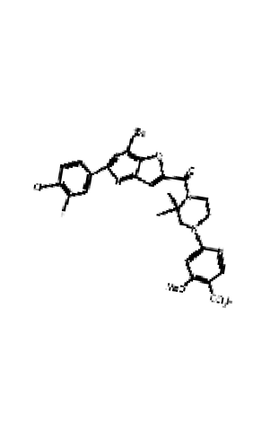 COc1cc(N2CCN(C(=O)c3cc4nc(-c5ccc(Cl)c(F)c5)cc(C(C)(C)C)c4o3)C(C)(C)C2)ncc1C(=O)O